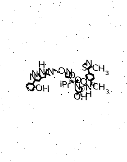 Cc1ncsc1-c1ccc([C@H](C)NC(=O)[C@@H]2C[C@@H](O)CN2C(=O)[C@@H](c2cc(OCCN3CC4(Cc5cc(-c6ccccc6O)nnc5N4)C3)no2)C(C)C)cc1